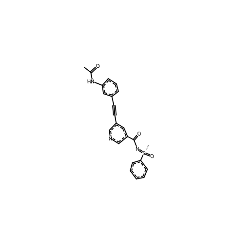 CC(=O)Nc1cccc(C#Cc2cncc(C(=O)N=[S@@](C)(=O)c3ccccc3)c2)c1